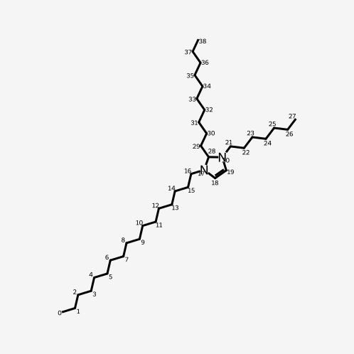 CCCCCCCCCCCCCCCCCN1C=CN(CCCCCCC)C1CCCCCCCCCC